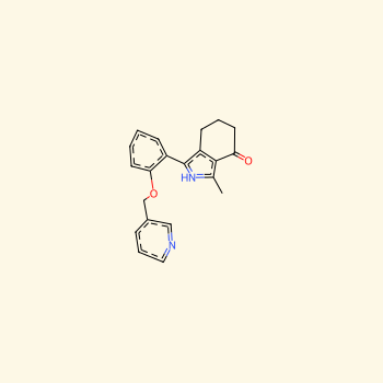 Cc1[nH]c(-c2ccccc2OCc2cccnc2)c2c1C(=O)CCC2